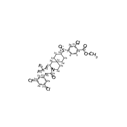 COC(=O)c1ccc([S+]([O-])C2CCC3(CC2)CCN(C(=O)[C@H](c2cc(Cl)cc(Cl)c2)C(F)(F)F)CC3)cc1Cl